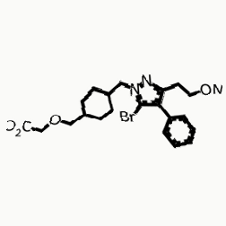 COCCc1nn(CC2CCC(COCC(=O)O)CC2)c(Br)c1-c1ccccc1